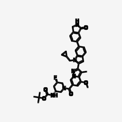 COc1cc(C(=O)N2C[C@H](F)C[C@@H](NC(=O)OC(C)(C)C)C2)cn2nc(-c3cc4ccc(-c5ccc6c(c5)C(=O)NC6)cc4n3CC3CC3)c(C)c12